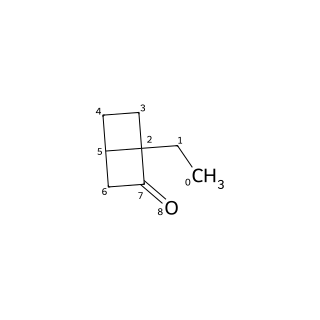 CCC12CCC1CC2=O